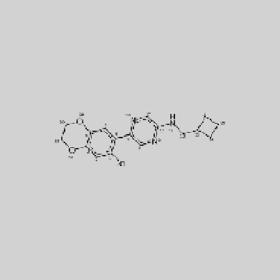 Clc1cc2c(cc1-c1cnc(NCC3CCC3)cn1)OCCO2